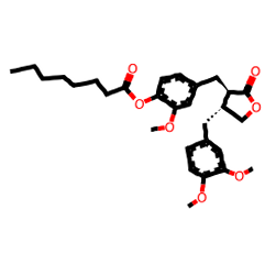 CCCCCCCC(=O)Oc1ccc(C[C@H]2C(=O)OC[C@@H]2Cc2ccc(OC)c(OC)c2)cc1OC